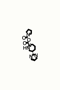 O=C(OC(=O)N1CCC[C@H](c2ncccn2)CN1)N1CCCC1